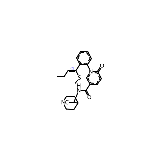 CC/C=C(\SC)c1ccccc1-n1cc(C(=O)NC2CN3CCC2CC3)ccc1=O